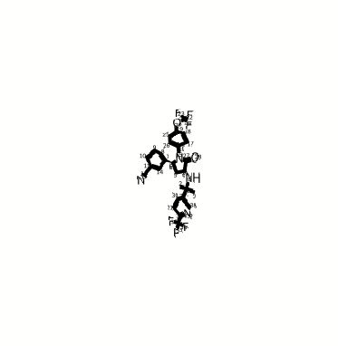 CC(C)(N[C@H]1C[C@@H](c2cccc(C#N)c2)N(c2ccc(OC(F)(F)F)cc2)C1=O)c1ccc(C(F)(F)F)nc1